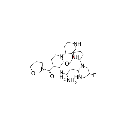 NC(N)C(C(=O)NC1CNCCC1N1CCC(C(=O)N2CCCOC2)CC1)C1NCC(F)CN1C1CCCC1